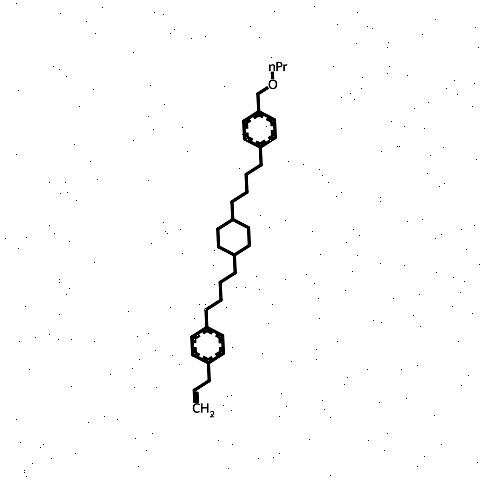 C=CCc1ccc(CCCCC2CCC(CCCCc3ccc(COCCC)cc3)CC2)cc1